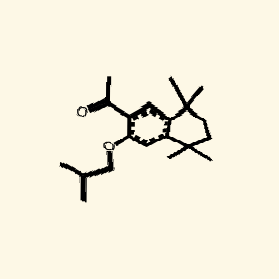 CC(=O)c1cc2c(cc1OCC(C)C)C(C)(C)CCC2(C)C